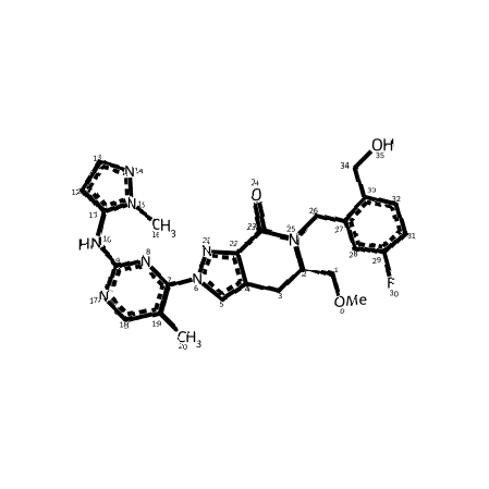 COC[C@H]1Cc2cn(-c3nc(Nc4ccnn4C)ncc3C)nc2C(=O)N1Cc1cc(F)ccc1CO